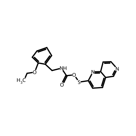 CCOc1ccccc1CNC(=O)OSc1ccc2cnccc2n1